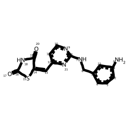 Nc1cccc(CNc2nccc(C=C3SC(=O)NC3=O)n2)c1